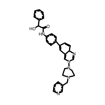 O=C(Nc1ccc(C2=CC3=CN(N4CCN(Cc5cccnc5)CC4)C=NC3C=C2)cc1)C(O)c1ccccc1